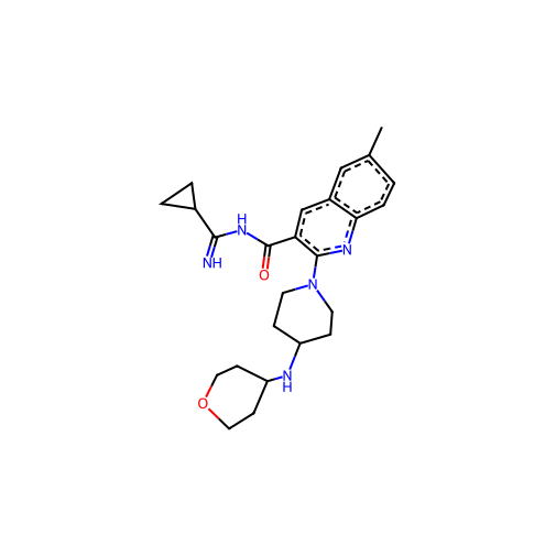 Cc1ccc2nc(N3CCC(NC4CCOCC4)CC3)c(C(=O)NC(=N)C3CC3)cc2c1